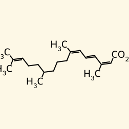 CC(C)=CCCC(C)CCCC(C)=CC=CC(C)=CC(=O)O